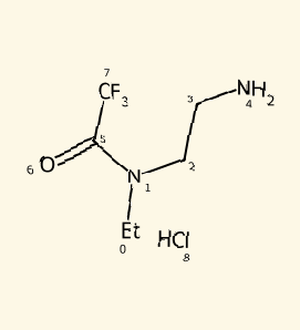 CCN(CCN)C(=O)C(F)(F)F.Cl